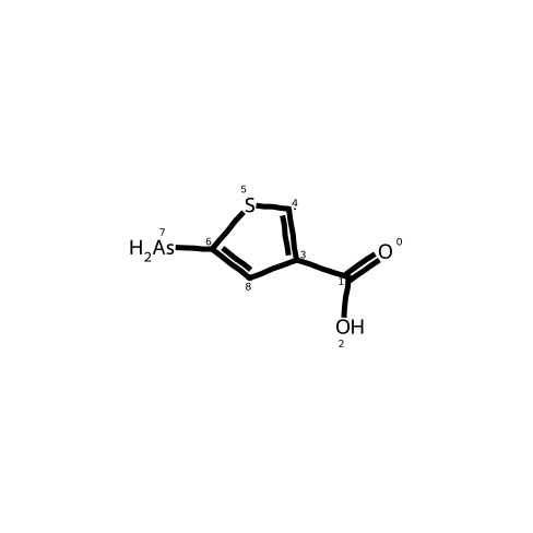 O=C(O)c1[c]sc([AsH2])c1